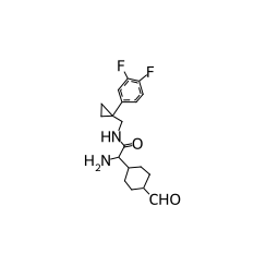 NC(C(=O)NCC1(c2ccc(F)c(F)c2)CC1)C1CCC(C=O)CC1